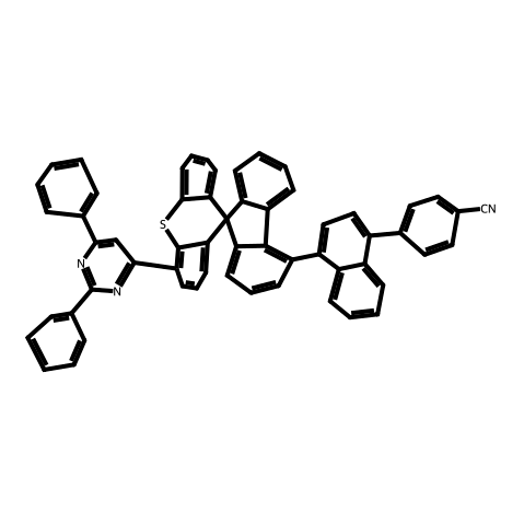 N#Cc1ccc(-c2ccc(-c3cccc4c3-c3ccccc3C43c4ccccc4Sc4c(-c5cc(-c6ccccc6)nc(-c6ccccc6)n5)cccc43)c3ccccc23)cc1